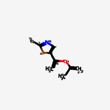 C=C(C)OC(=C)c1cnc(CC)s1